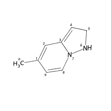 CC1=CC2=CCNN2C=C1